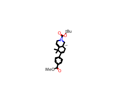 COC(=O)c1ccc(C2=CC[C@]3(C)CN(C(=O)OC(C)(C)C)CC=C3C2(C)C)cc1